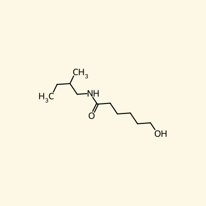 CCC(C)CNC(=O)CCCCCO